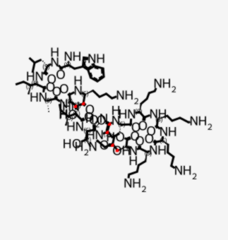 CC[C@H](C)[C@H](NC(=O)[C@H](CC(C)C)NC(=O)[C@@H](N)Cc1c[nH]c2ccccc12)C(=O)N[C@@H](C)C(=O)N[C@H](C(=O)N[C@@H](CCCCN)C(=O)N[C@H](C(=O)N[C@H](C(=O)N[C@@H](CC(=O)O)C(=O)N[C@@H](CCCCN)C(=O)N[C@@H](CCCCN)C(=O)N[C@@H](CCCCN)C(=O)N[C@@H](CCCCN)C(=O)N[C@@H](CCCCN)C(=O)N[C@@H](CCCCN)C(=O)O)[C@@H](C)O)[C@@H](C)CC)[C@@H](C)O